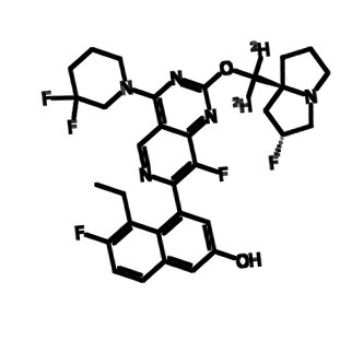 [2H]C([2H])(Oc1nc(N2CCCC(F)(F)C2)c2cnc(-c3cc(O)cc4ccc(F)c(CC)c34)c(F)c2n1)[C@@]12CCCN1C[C@H](F)C2